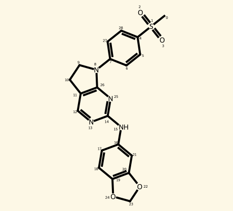 CS(=O)(=O)c1ccc(N2CCc3cnc(Nc4ccc5c(c4)OCO5)nc32)cc1